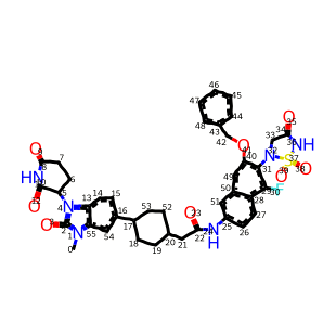 Cn1c(=O)n(C2CCC(=O)NC2=O)c2ccc(C3CCC(CC(=O)Nc4ccc5c(F)c(N6CC(=O)NS6(=O)=O)c(OCc6ccccc6)cc5c4)CC3)cc21